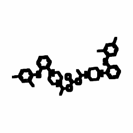 Cc1ccc(Sc2ccccc2N2CCN(C(C)OC(=O)OC(C)N3CCN(c4ccccc4Sc4ccc(C)cc4C)CC3)CC2)c(C)c1